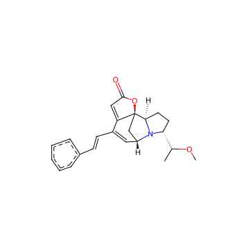 COC(C)[C@H]1CC[C@H]2N1[C@@H]1C=C(C=Cc3ccccc3)C3=CC(=O)O[C@@]32C1